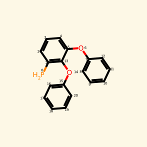 Pc1cccc(Oc2ccccc2)c1Oc1ccccc1